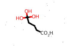 O=C(O)CCCC(O)(O)O